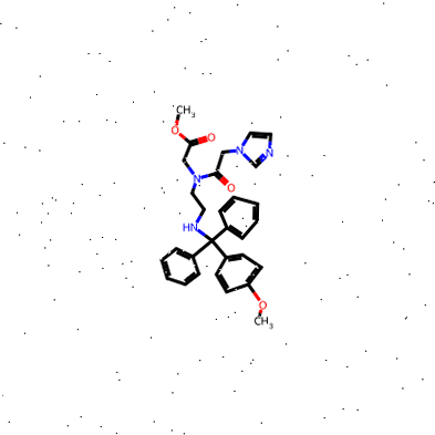 COC(=O)CN(CCNC(c1ccccc1)(c1ccccc1)c1ccc(OC)cc1)C(=O)Cn1ccnc1